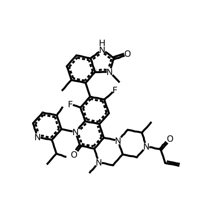 C=CC(=O)N1CC2CN(C)c3c(c4cc(F)c(-c5c(C)ccc6[nH]c(=O)n(C)c56)c(F)c4n(-c4c(C)ccnc4C(C)C)c3=O)N2CC1C